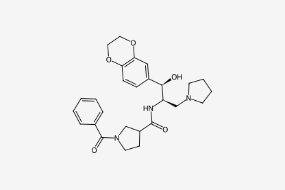 O=C(N[C@H](CN1CCCC1)[C@H](O)c1ccc2c(c1)OCCO2)C1CCN(C(=O)c2ccccc2)C1